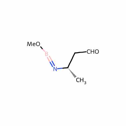 CO/B=N/[C@@H](C)CC=O